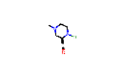 CN1CCN(Cl)C(=C=O)C1